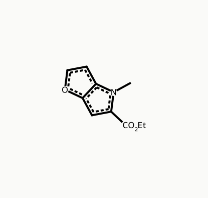 CCOC(=O)c1cc2occc2n1C